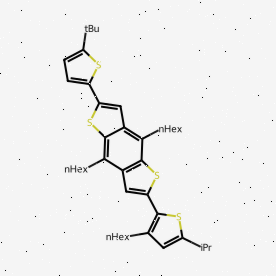 CCCCCCc1cc(C(C)C)sc1-c1cc2c(CCCCCC)c3sc(-c4ccc(C(C)(C)C)s4)cc3c(CCCCCC)c2s1